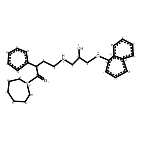 O=C(C(CCNCC(O)COc1cccc2ccccc12)c1ccccc1)N1CCCCCC1